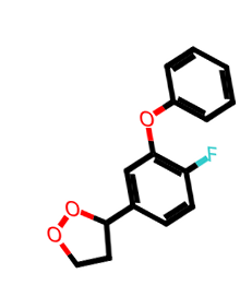 Fc1ccc(C2CCOO2)cc1Oc1ccccc1